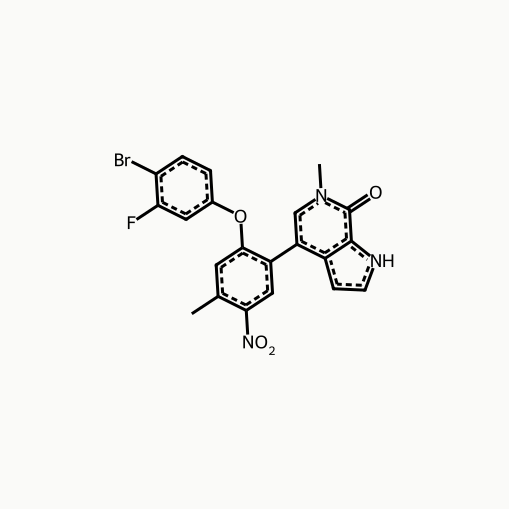 Cc1cc(Oc2ccc(Br)c(F)c2)c(-c2cn(C)c(=O)c3[nH]ccc23)cc1[N+](=O)[O-]